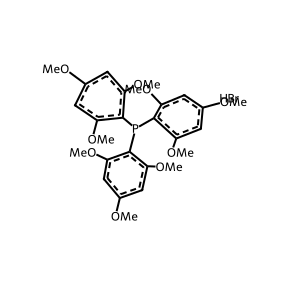 Br.COc1cc(OC)c(P(c2c(OC)cc(OC)cc2OC)c2c(OC)cc(OC)cc2OC)c(OC)c1